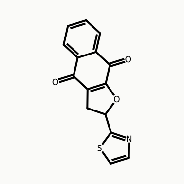 O=C1C2=C(OC(c3nccs3)C2)C(=O)c2ccccc21